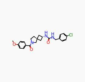 COc1ccc(C(=O)N2CC[C@]3(C2)C[C@@H](NC(=O)NCc2ccc(Cl)cc2)C3)cc1